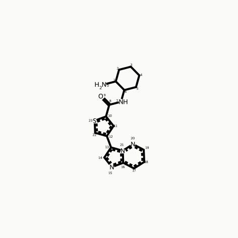 NC1CCCCC1NC(=O)c1cc(-c2cnc3cccnn23)cs1